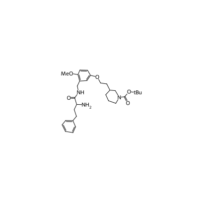 COc1ccc(OCCC2CCCN(C(=O)OC(C)(C)C)C2)cc1CNC(=O)C(N)CCc1ccccc1